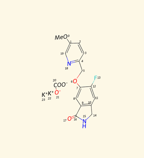 COc1ccc(COc2cc3c(cc2F)CNC3=O)nc1.O=C([O-])[O-].[K+].[K+]